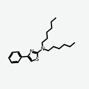 CCCCCCN(CCCCCC)c1nc(-c2ccccc2)cs1